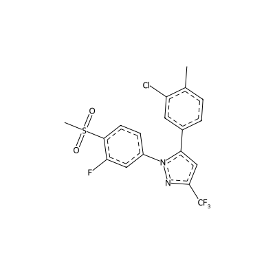 Cc1ccc(-c2cc(C(F)(F)F)nn2-c2ccc(S(C)(=O)=O)c(F)c2)cc1Cl